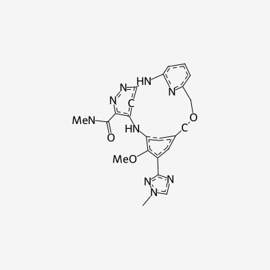 CNC(=O)c1nnc2cc1Nc1cc(cc(-c3ncn(C)n3)c1OC)COCc1cccc(n1)N2